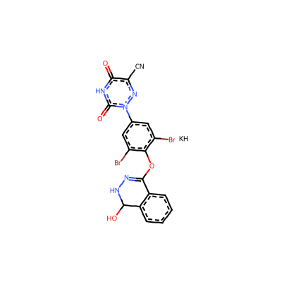 N#Cc1nn(-c2cc(Br)c(OC3=NNC(O)c4ccccc43)c(Br)c2)c(=O)[nH]c1=O.[KH]